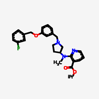 CC(C)OC(=O)c1cccnc1N(C)[C@H]1CCN(Cc2cccc(OCc3cccc(F)c3)c2)C1